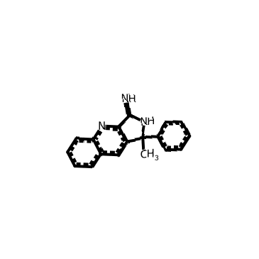 CC1(c2ccccc2)NC(=N)c2nc3ccccc3cc21